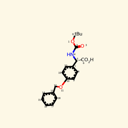 CC(C)(C)OC(=O)N[C@H](C(=O)O)c1ccc(OCc2ccccc2)cc1